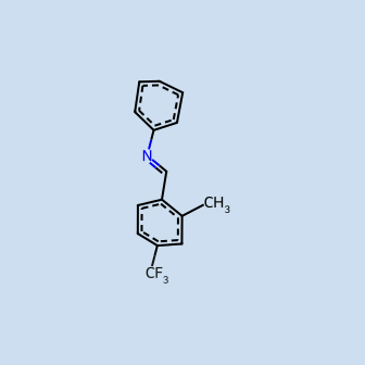 Cc1cc(C(F)(F)F)ccc1C=Nc1ccccc1